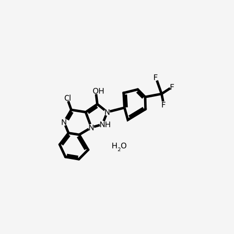 O.OC1=C2C(Cl)=Nc3ccccc3N2NN1c1ccc(C(F)(F)F)cc1